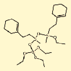 CCO[Si](C)(CCC1=CCCCC1)O[Si](C)(CCC1=CCCCC1)O[Si](OCC)(OCC)OCC